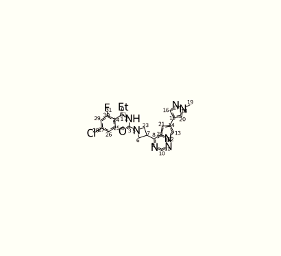 CC[C@H](NC(=O)N1CC(c2ncnn3cc(-c4cnn(C)c4)cc23)C1)c1ccc(Cl)cc1F